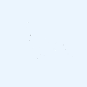 CC1CCCN1C(=O)c1nc(C(=O)NCC(C)(C)O)sc1-c1cnc(NC(C)(C)C2CC2)cc1C(F)(F)F